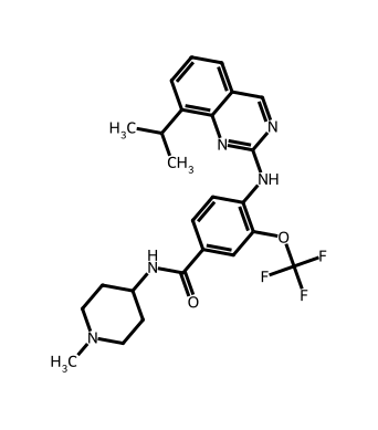 CC(C)c1cccc2cnc(Nc3ccc(C(=O)NC4CCN(C)CC4)cc3OC(F)(F)F)nc12